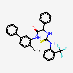 Cc1ccc(-c2ccccc2)cc1NC(=O)C(NC(=S)Nc1ccccc1C(F)(F)F)c1ccccc1